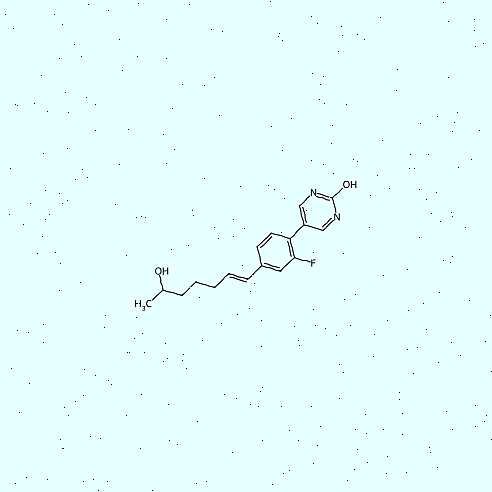 CC(O)CCCC=Cc1ccc(-c2cnc(O)nc2)c(F)c1